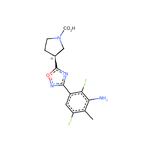 Cc1c(F)cc(-c2noc([C@H]3CCN(C(=O)O)C3)n2)c(F)c1N